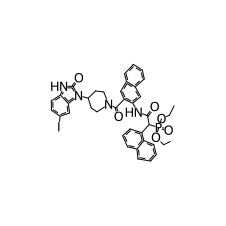 CCOP(=O)(OCC)C(C(=O)Nc1cc2ccccc2cc1C(=O)N1CCC(n2c(=O)[nH]c3ccc(I)cc32)CC1)c1cccc2ccccc12